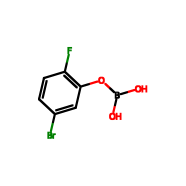 OB(O)Oc1cc(Br)ccc1F